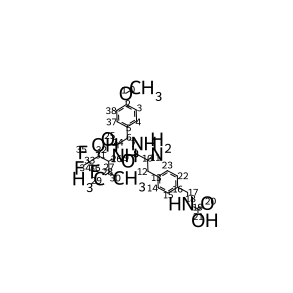 COc1ccc([C@H](NC(=O)[C@@H](N)Cc2ccc(CNC(=O)O)cc2)C(=O)N[C@@H](C(C)C)[C@H](O)C(F)(F)F)cc1